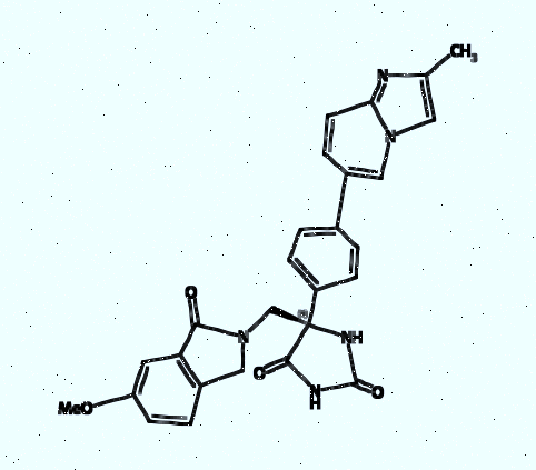 COc1ccc2c(c1)C(=O)N(C[C@@]1(c3ccc(-c4ccc5nc(C)cn5c4)cc3)NC(=O)NC1=O)C2